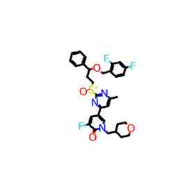 Cc1cc(-c2cc(F)c(=O)n(CC3CCOCC3)c2)nc([S+]([O-])CCC(OCc2ccc(F)cc2F)c2ccccc2)n1